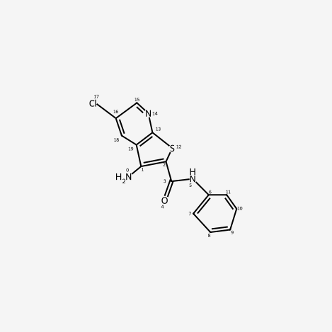 Nc1c(C(=O)Nc2ccccc2)sc2ncc(Cl)cc12